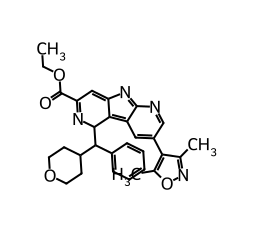 CCOC(=O)C1=NC(C(c2ccccc2)C2CCOCC2)C2=c3cc(-c4c(C)noc4C)cnc3=NC2=C1